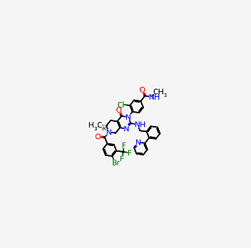 CNC(=O)c1ccc(-n2c(NCc3ccccc3-c3ccccn3)nc3c(c2=O)C[C@@H](C)N(C(=O)c2ccc(Br)c(C(F)(F)F)c2)C3)c(Cl)c1